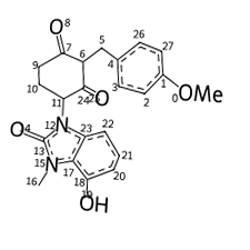 COc1ccc(CC2C(=O)CCC(n3c(=O)n(C)c4c(O)cccc43)C2=O)cc1